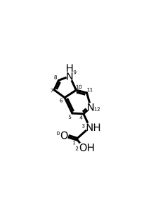 O=C(O)Nc1cc2cc[nH]c2cn1